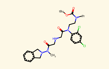 CC(C)N(CCN(C(=O)CNCC(=O)N(C)N1Cc2ccccc2C1)c1ccc(Cl)cc1Cl)C(=O)OC(C)(C)C